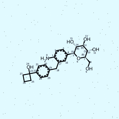 Nc1ccc([C@@H]2O[C@H](CO)[C@@H](O)[C@H](O)[C@H]2O)cc1Cc1ccc(C2(O)CCC2)cc1